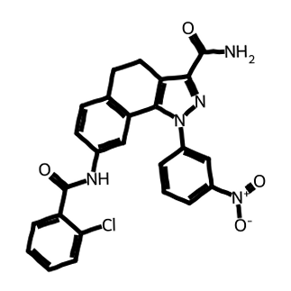 NC(=O)c1nn(-c2cccc([N+](=O)[O-])c2)c2c1CCc1ccc(NC(=O)c3ccccc3Cl)cc1-2